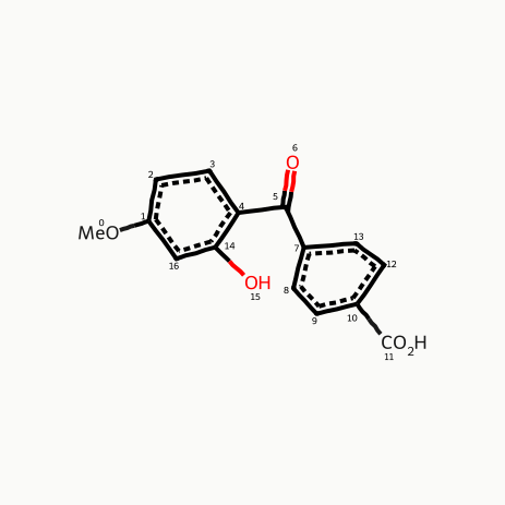 COc1ccc(C(=O)c2ccc(C(=O)O)cc2)c(O)c1